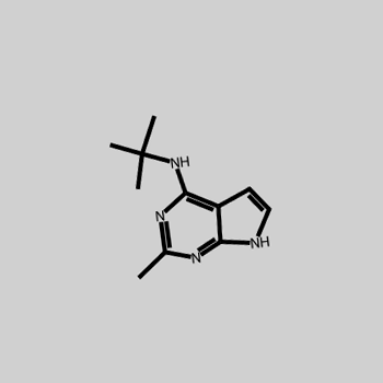 Cc1nc(NC(C)(C)C)c2cc[nH]c2n1